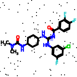 CN(C)C(=O)N[C@H]1CC[C@H](N/C(=N\C(=O)c2ccc(F)c(F)c2)Nc2cc(F)cc(Cl)c2)CC1